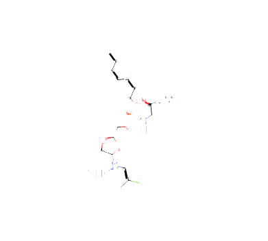 C=C/C=C\C=C/COP(=O)(N[C@@H](C)C(=O)OC)OC[C@@H]1OC[C@H](N(C=O)/C=C(\C)F)O1